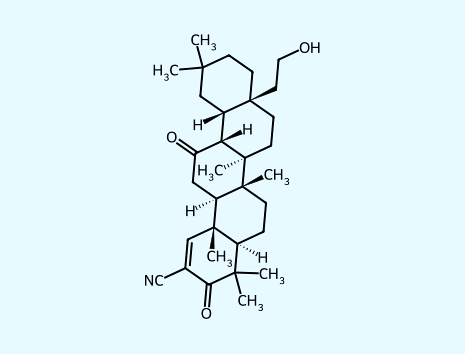 CC1(C)CC[C@]2(CCO)CC[C@]3(C)[C@H](C(=O)C[C@@H]4[C@@]5(C)C=C(C#N)C(=O)C(C)(C)[C@@H]5CC[C@]43C)[C@@H]2C1